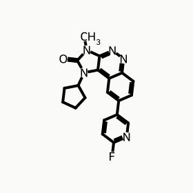 Cn1c(=O)n(C2CCCC2)c2c3cc(-c4ccc(F)nc4)ccc3nnc21